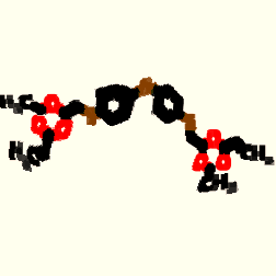 C=CC(=O)OC(CSc1ccc(Sc2ccc(SCC(OCC)OC(=O)C=C)cc2)cc1)OCC